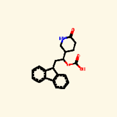 O=C1CCC(C(CC2c3ccccc3-c3ccccc32)OC(=O)O)CN1